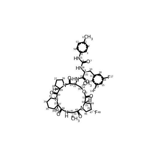 Cc1ccc(NC(=O)N[C@@H](Cc2cc(F)cc(F)c2)C(=O)N[C@@H]2C(=O)N3CCC[C@H]3C(=O)N3CCCC[C@H]3C(=O)N[C@@H](C)C(=O)N3C[C@@H](F)C[C@H]3C(=O)O[C@H]2C)cc1